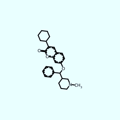 CN1CCCC(C(Oc2ccc3cc(C4CCCCC4)c(=O)oc3c2)c2ccccc2)C1